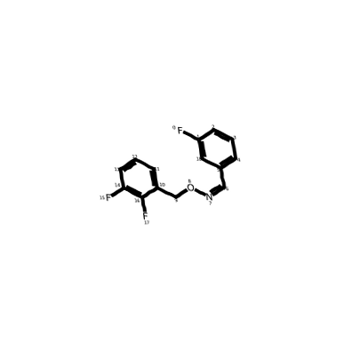 Fc1cccc(/[C]=N\OCc2cccc(F)c2F)c1